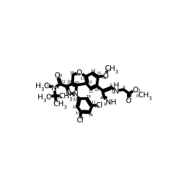 COC(=O)CN/C=C(\C=N)c1cc2c(cc1OC)OCc1c(C(=O)N(C)C(C)(C)C)nn(-c3cc(Cl)cc(Cl)c3)c1-2